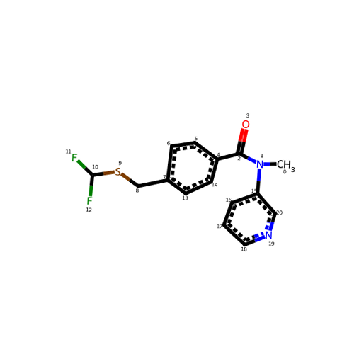 CN(C(=O)c1ccc(CSC(F)F)cc1)c1cccnc1